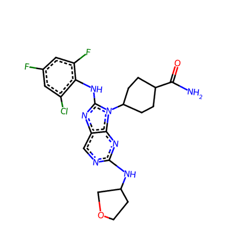 NC(=O)C1CCC(n2c(Nc3c(F)cc(F)cc3Cl)nc3cnc(NC4CCOC4)nc32)CC1